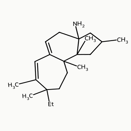 CCC1(C)CCC2(C)C(=CCC3(N)CC(C)CC32C)C=C1C